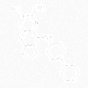 COc1cc2nc3c(c(NC4CCN(C5CCOCC5)CC4)c2nc1OC)CCC3